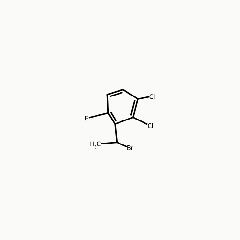 CC(Br)c1c(F)ccc(Cl)c1Cl